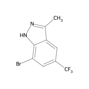 Cc1n[nH]c2c(Br)cc(C(F)(F)F)cc12